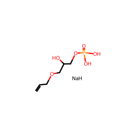 C=CCOCC(O)COP(=O)(O)O.[NaH]